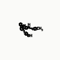 CN1CCN(CCCNc2ccc3c4c5c(nc3c2)c2ccccc2n5CCCN4CCN2CCC(O)CC2)CC1